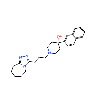 OC1(c2ccc3ccccc3c2)CCN(CCCc2nnc3n2CCCCC3)CC1